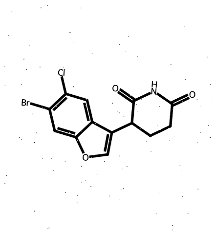 O=C1CCC(c2coc3cc(Br)c(Cl)cc23)C(=O)N1